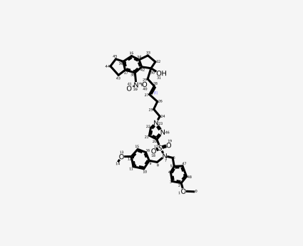 COc1ccc(CN(Cc2ccc(OC)cc2)S(=O)(=O)c2ccn(CCC/C=C/CC3(O)CCc4cc5c(c([N+](=O)[O-])c43)CCC5)n2)cc1